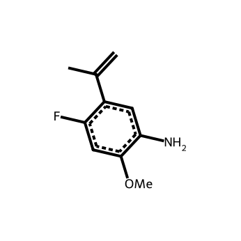 C=C(C)c1cc(N)c(OC)cc1F